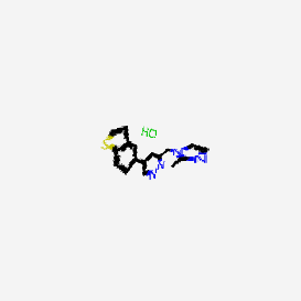 Cc1nccn1Cc1cc(-c2ccc3sccc3c2)cnn1.Cl